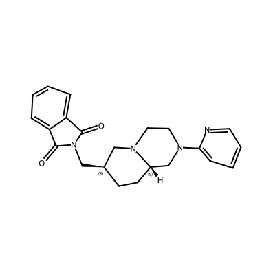 O=C1c2ccccc2C(=O)N1C[C@@H]1CC[C@H]2CN(c3ccccn3)CCN2C1